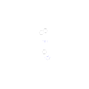 c1ccc2c(CCNC3CCCC(c4ccc(-c5ncc[nH]5)cc4)C3)cccc2c1